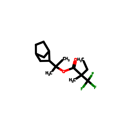 CCC(C)(C(=O)OC(C)(C)C1CC2CCC1C2)C(F)(F)F